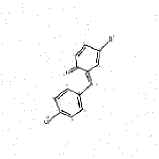 O=C1C=CC(Br)=CC1=Nc1ccc(Cl)cc1